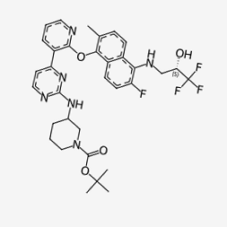 Cc1ccc2c(NC[C@H](O)C(F)(F)F)c(F)ccc2c1Oc1ncccc1-c1ccnc(NC2CCCN(C(=O)OC(C)(C)C)C2)n1